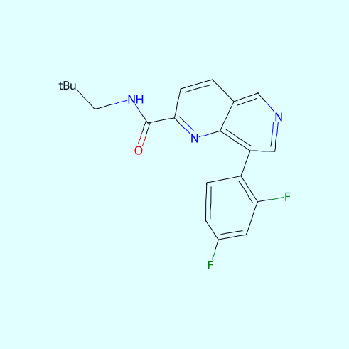 CC(C)(C)CNC(=O)c1ccc2cncc(-c3ccc(F)cc3F)c2n1